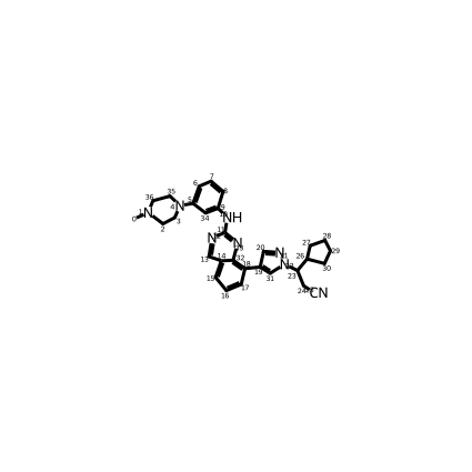 CN1CCN(c2cccc(Nc3ncc4cccc(-c5cnn(C(CC#N)C6CCCC6)c5)c4n3)c2)CC1